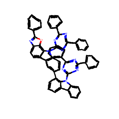 c1ccc(-c2nc(-c3ccccc3)nc(-n3c4ccccc4c4cccc(-c5ccc6c(c5)c5ccc7nc(-c8ccccc8)oc7c5n6-c5nc(-c6ccccc6)nc(-c6ccccc6)n5)c43)n2)cc1